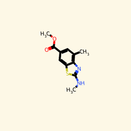 CNc1nc2c(C)cc(C(=O)OC)cc2s1